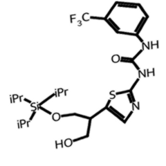 CC(C)[Si](OCC(CO)c1cnc(NC(=O)Nc2cccc(C(F)(F)F)c2)s1)(C(C)C)C(C)C